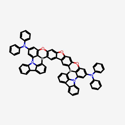 c1ccc(N(c2ccccc2)c2cc3c4c(c2)-n2c5ccccc5c5cccc(c52)B4c2cc4c(cc2O3)oc2cc3c(cc24)B2c4c(cc(N(c5ccccc5)c5ccccc5)cc4-n4c5ccccc5c5cccc2c54)O3)cc1